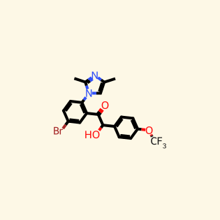 Cc1cn(-c2ccc(Br)cc2C(=O)C(O)c2ccc(OC(F)(F)F)cc2)c(C)n1